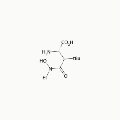 CCN(O)C(=O)C([C@H](N)C(=O)O)C(C)(C)C